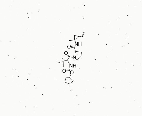 C=C[C@@H]1C[C@@]1(C)NC(=O)C1CCCN1C(=O)[C@@H](NC(=O)OC1CCCC1)C(C)(C)C